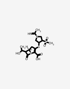 CC(=N)N1CC(SC2=C(C(=O)O)N3C(=O)C(C(C)O)[C@H]3C2)C(S(C)(=O)=O)C1